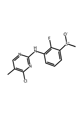 Cc1cnc(Nc2cccc([S+](C)[O-])c2F)nc1Cl